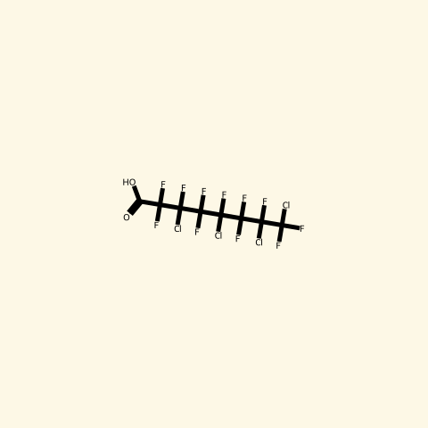 O=C(O)C(F)(F)C(F)(Cl)C(F)(F)C(F)(Cl)C(F)(F)C(F)(Cl)C(F)(F)Cl